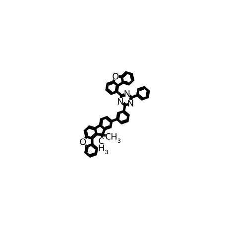 CC1(C)c2cc(-c3cccc(-c4nc(-c5ccccc5)nc(-c5cccc6oc7ccccc7c56)n4)c3)ccc2-c2ccc3oc4ccccc4c3c21